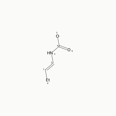 CCC=CNC([O])=O